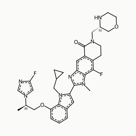 C[C@H](COc1cccc2cc(-c3nc4cc5c(c(F)c4n3C)CCN(C[C@H]3COCCN3)C5=O)n(CC3CC3)c12)n1cnc(F)c1